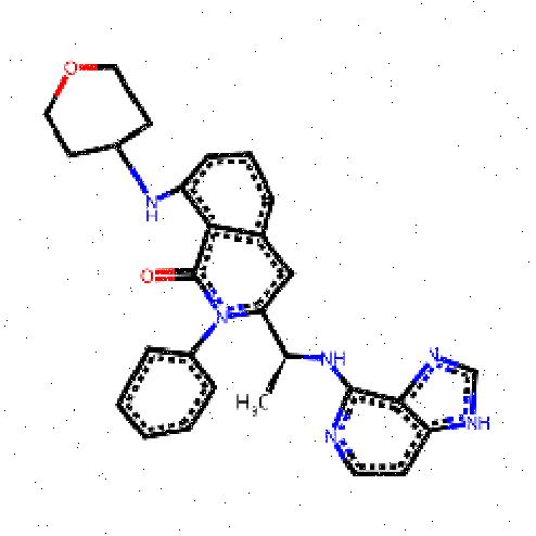 C[C@H](Nc1nccc2[nH]cnc12)c1cc2cccc(NC3CCOCC3)c2c(=O)n1-c1ccccc1